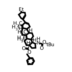 CCC1CC=C(C2=CC[C@]3(C)[C@H]4CC[C@@H]5[C@H]6[C@H](NC(=O)OC(C)(C)C)CC[C@]6(C(=O)OCc6ccccc6)CC[C@@]5(C)[C@]4(C)CC[C@H]3C2(C)C)CC1